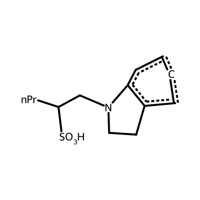 CCCC(CN1CCc2ccccc21)S(=O)(=O)O